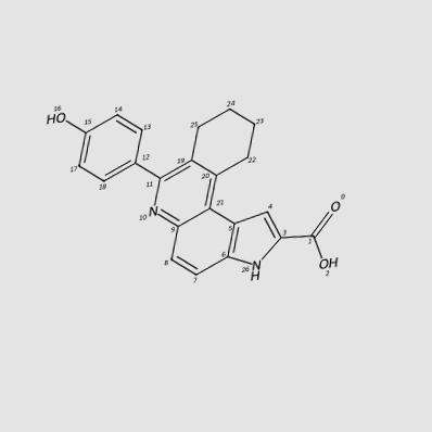 O=C(O)c1cc2c(ccc3nc(-c4ccc(O)cc4)c4c(c32)CCCC4)[nH]1